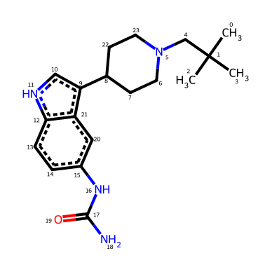 CC(C)(C)CN1CCC(c2c[nH]c3ccc(NC(N)=O)cc23)CC1